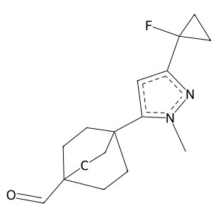 Cn1nc(C2(F)CC2)cc1C12CCC(C=O)(CC1)CC2